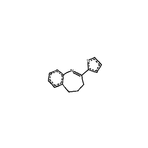 c1csc(C2=Nc3ccccc3CCC2)c1